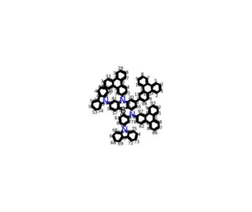 c1ccc2c(c1)c1ccccc1c1cc(-c3cc4c5c(c3)N(c3ccc6c7ccccc7c7ccccc7c6c3)c3cc(-n6c7ccccc7c7ccccc76)ccc3B5c3ccc(-n5c6ccccc6c6ccccc65)cc3N4c3ccc4c5ccccc5c5ccccc5c4c3)ccc21